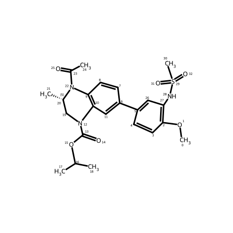 COc1ccc(-c2ccc3c(c2)N(C(=O)OC(C)C)C[C@H](C)N3C(C)=O)cc1NS(C)(=O)=O